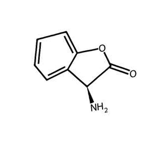 N[C@@H]1C(=O)Oc2ccccc21